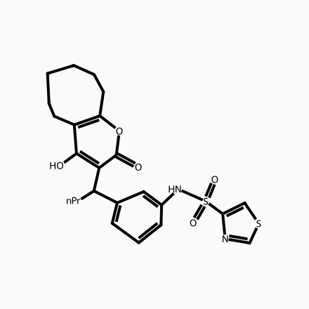 CCCC(c1cccc(NS(=O)(=O)c2cscn2)c1)c1c(O)c2c(oc1=O)CCCCCC2